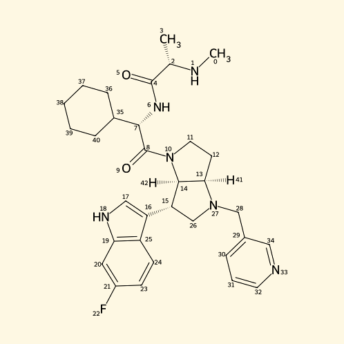 CN[C@@H](C)C(=O)N[C@H](C(=O)N1CC[C@@H]2[C@H]1[C@@H](c1c[nH]c3cc(F)ccc13)CN2Cc1cccnc1)C1CCCCC1